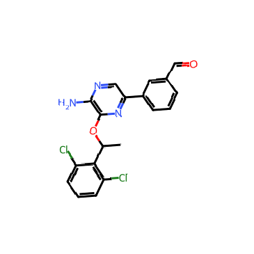 CC(Oc1nc(-c2cccc(C=O)c2)cnc1N)c1c(Cl)cccc1Cl